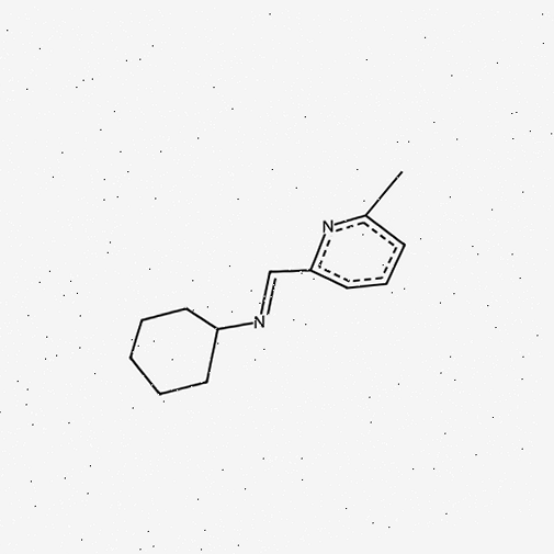 Cc1cccc(/C=N/C2CCCCC2)n1